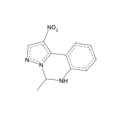 CC1Nc2ccccc2-c2c([N+](=O)[O-])cnn21